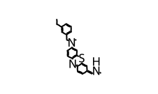 CCc1cccc(CN(C)c2ccc3c(c2)Sc2c/c(=C\NC)ccc2=N3)c1